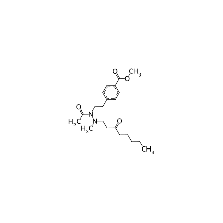 CCCCCC(=O)CCN(C)N(CCc1ccc(C(=O)OC)cc1)C(C)=O